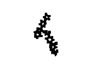 O=C(CNc1c(-c2ccc(N3CCCC3)cc2)nc2cnccn12)N1CCN(c2ncc(C(F)(F)F)cc2Cl)CC1